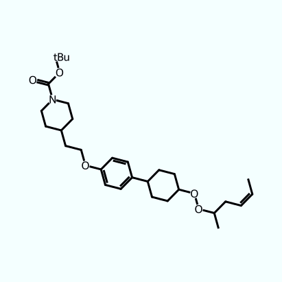 C/C=C\CC(C)OOC1CCC(c2ccc(OCCC3CCN(C(=O)OC(C)(C)C)CC3)cc2)CC1